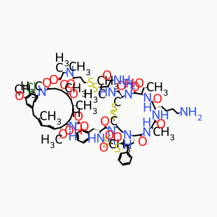 COc1cc2cc(c1Cl)N(C)C(=O)C[C@H](OC(=O)[C@H](C)N(C)C(=O)CCSSC(C)(C)[C@H](NC(=O)[C@@H]1CSSC[C@H](NC(=O)[C@@H](Cc3ccccc3)NS(C)(=O)=O)C(=O)N[C@@H](Cc3csc4ccccc34)C(=O)N[C@H](C)C(=O)N[C@@H](CCCCN)C(=O)N[C@@H]([C@@H](C)O)C(=O)N1)C(N)=O)[C@]1(C)OC1[C@H](C)[C@@H]1C[C@@](O)(NC(=O)O1)[C@H](OC)/C=C/C=C(\C)C2